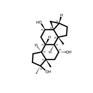 C[C@]1(O)CC[C@H]2[C@@H]3C[C@@H](O)[C@]45C[C@@H]4CC[C@]5(C)[C@H]3[C@H](O)C[C@@]21C